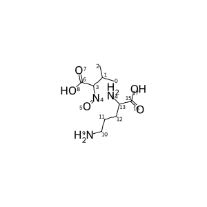 CC(C)C(N=O)C(=O)O.NCCCC(N)C(=O)O